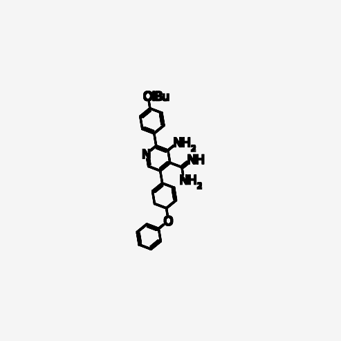 CC(C)COc1ccc(-c2ncc(C3=CCC(Oc4ccccc4)C=C3)c(C(=N)N)c2N)cc1